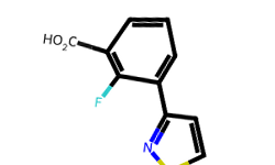 O=C(O)c1cccc(-c2ccsn2)c1F